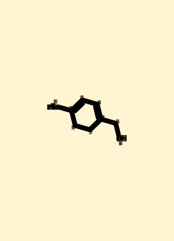 CCCCC1=CC=C(CO)CC1